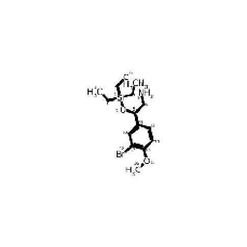 CC[Si](CC)(CC)OC(CN)c1ccc(OC)c(Br)c1